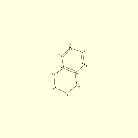 [CH]1CCCc2cnccc21